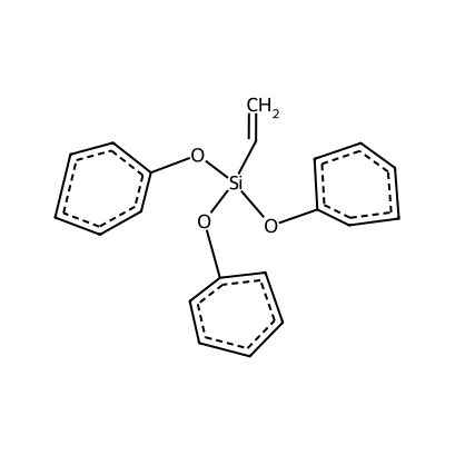 C=C[Si](Oc1ccccc1)(Oc1ccccc1)Oc1ccccc1